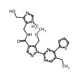 CCc1cnc(-n2ncc(C(=O)NCc3c(CO)ncn3C)c2COC)nc1-c1cccs1